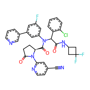 N#Cc1ccnc(N2C(=O)CC[C@H]2C(=O)N(c2cc(F)cc(-c3cccnc3)c2)C(C(=O)NC2CC(F)(F)C2)c2ccccc2Cl)c1